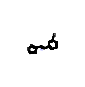 Clc1cccc(/C=C/c2ncon2)c1